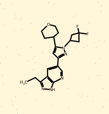 CCc1n[nH]c2ncc(-c3cc(C4CCOCC4)n(C4CC(F)(F)C4)n3)cc12